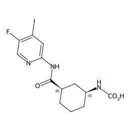 O=C(O)N[C@H]1CCC[C@@H](C(=O)Nc2cc(I)c(F)cn2)C1